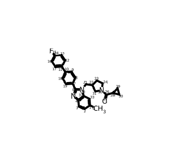 Cc1ccc2nc(-c3ccc(-c4ccc(F)cc4)cc3)n(CC3CCN(C(=O)C4CC4)C3)c2c1